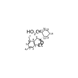 CCc1cc(C)cc(C)c1CC(=O)[C@H]1CCCC[C@@H]1C(=O)O